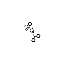 CCC1C(=O)N(C2CCN(CCC(c3ccccc3)c3ccccc3)CC2C)c2ccccc21